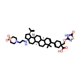 C=C(C)[C@@H]1CC[C@]2(NCCN3CCS(=O)(=O)CC3)CCC3[C@H](CCC4[C@@]3(C)CCC3C(C)(C)C(C5=CCC(COc6nsc(=O)[nH]6)(C(=O)O)CC5)=CC[C@@]34C)C12